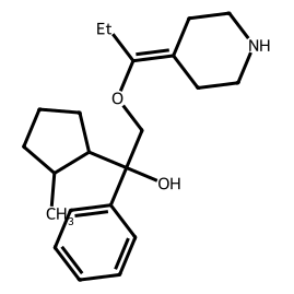 CCC(OCC(O)(c1ccccc1)C1CCCC1C)=C1CCNCC1